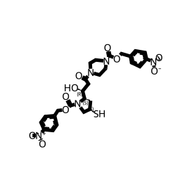 O=C(C[C@@H](O)[C@@H]1C[C@H](S)CN1C(=O)OCc1ccc([N+](=O)[O-])cc1)N1CCN(C(=O)OCc2ccc([N+](=O)[O-])cc2)CC1